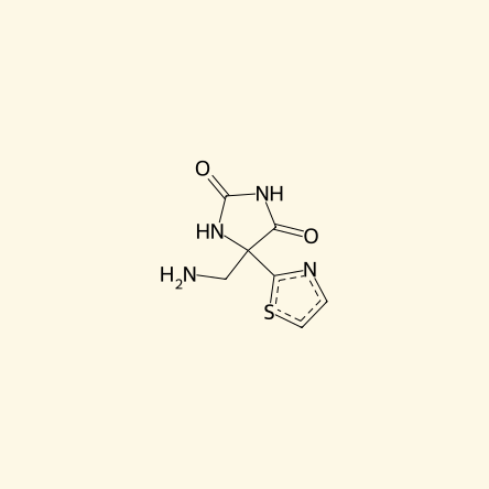 NCC1(c2nccs2)NC(=O)NC1=O